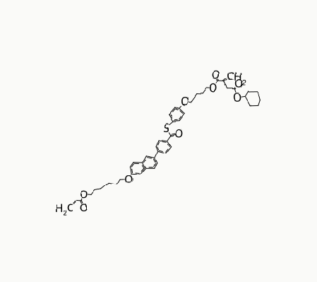 C=CC(=O)OCCCCCCOc1ccc2cc(-c3ccc(C(=O)Sc4ccc(OCCCCOC(=O)C(=C)CC(=O)OC5CCCCC5)cc4)cc3)ccc2c1